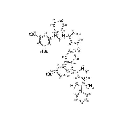 CC(C)(C)c1cc(-[n+]2cn(-c3cccc(Oc4ccc5c6cc(C(C)(C)C)ccc6n(-c6cc(C(C)(C)c7ccccc7)ccn6)c5c4)c3)c3ccccc32)cc(C(C)(C)C)c1